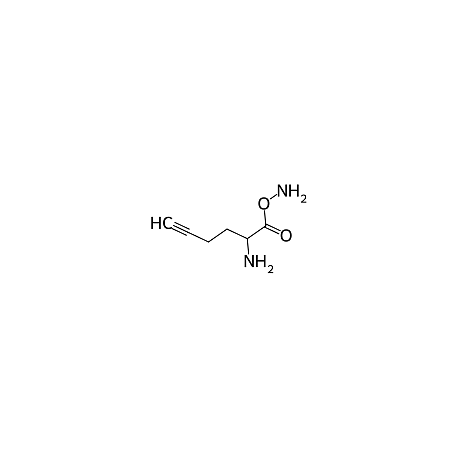 C#CCCC(N)C(=O)ON